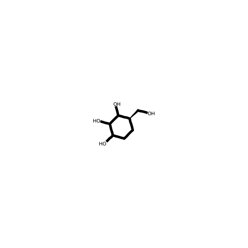 OC[C@H]1CCC(O)C(O)C1O